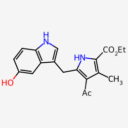 CCOC(=O)c1[nH]c(Cc2c[nH]c3ccc(O)cc23)c(C(C)=O)c1C